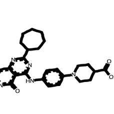 O=C(O)C1CCN(c2ccc(Nc3nc(C4CCCCCC4)nc4cn[nH]c(=O)c34)cc2)CC1